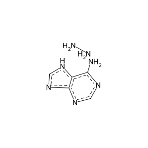 NN.Nc1ncnc2nc[nH]c12